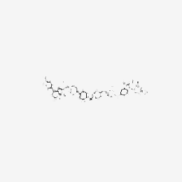 C[C@H]1CN(Cc2ccc3c(c2)n(C)c(=O)n3C2CCC(=O)NC2=O)CCN1CC1CCN(C(=O)c2ccc(C3CCN([C@@H](C)c4cc5c(-c6ccc(N)nc6)ccnc5n4C)CC3)cc2)CC1